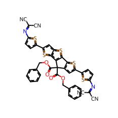 N#CC(C#N)=Nc1ccc(-c2cc3c(s2)-c2sc4cc(-c5ccc(N=C(C#N)C#N)s5)sc4c2C3(C(=O)OCc2ccccc2)C(=O)OCc2ccccc2)s1